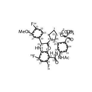 CCOC(=O)[C@H]1CCN(C(=O)[C@@H](Nc2cc(C(N)=O)c(F)cc2F)c2ccc(F)c(OC)c2)[C@H]1c1cc(NC(C)=O)ccc1S(C)(=O)=O